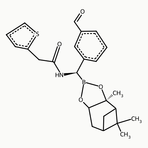 CC1(C)C2CC3OB([C@@H](NC(=O)Cc4cccs4)c4cccc(C=O)c4)O[C@@]3(C)C1C2